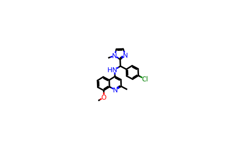 COc1cccc2c(NC(c3ccc(Cl)cc3)c3nccn3C)cc(C)nc12